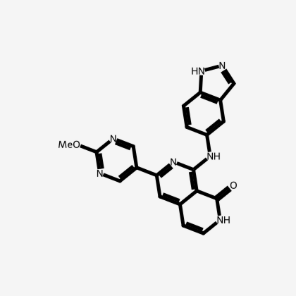 COc1ncc(-c2cc3cc[nH]c(=O)c3c(Nc3ccc4[nH]ncc4c3)n2)cn1